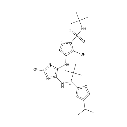 CC(C)c1coc([C@H](Nc2n[s+]([O-])nc2Nc2csc(S(=O)(=O)NC(C)(C)C)c2O)C(C)(C)C)c1